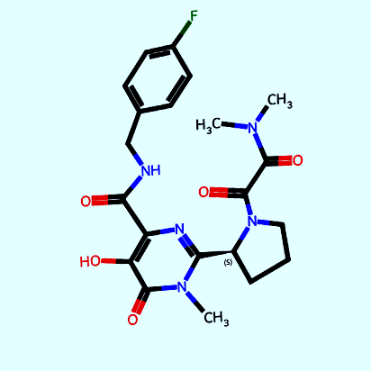 CN(C)C(=O)C(=O)N1CCC[C@H]1c1nc(C(=O)NCc2ccc(F)cc2)c(O)c(=O)n1C